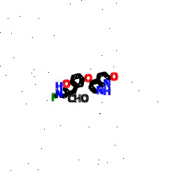 O=CC1(CNF)COc2ccc(Oc3ccnc4c3CCC(=O)N4)cc2C1